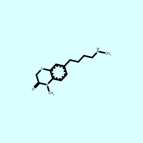 CNCCCCc1ccc2c(c1)OCC(=O)N2C